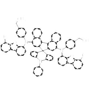 CCc1ccc(N(c2cc3c(c4ccccc24)-c2c(cc(N(c4ccc(CC)cc4)c4cccc5c4oc4c(F)cccc45)c4ccccc24)C32c3ccccc3N(c3ccccc3)c3ccccc32)c2cccc3c2oc2c(F)cccc23)cc1